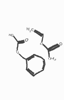 C=COC(C)=O.O=C(O)Oc1ccccc1